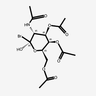 CC(=O)N[C@@H]1[C@@H](OC(C)=O)[C@@H](OC(C)=O)[C@@H](COC(C)=O)O[C@@]1(O)Br